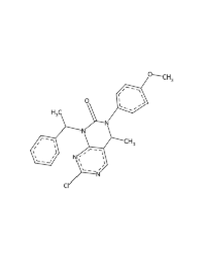 COc1ccc(N2C(=O)N(C(C)c3ccccc3)c3nc(Cl)ncc3C2C)cc1